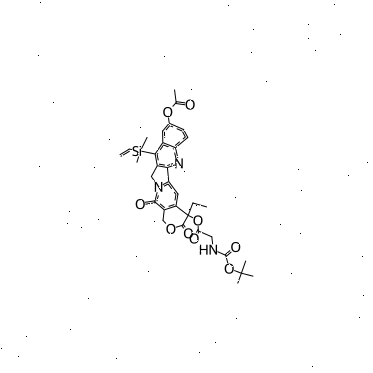 C=C[Si](C)(C)c1c2c(nc3ccc(OC(C)=O)cc13)-c1cc3c(c(=O)n1C2)COC(=O)C3(CC)OC(=O)CNC(=O)OC(C)(C)C